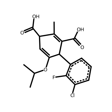 CC1=C(C(=O)O)C(c2cccc(Cl)c2F)C(OC(C)C)=CC1C(=O)O